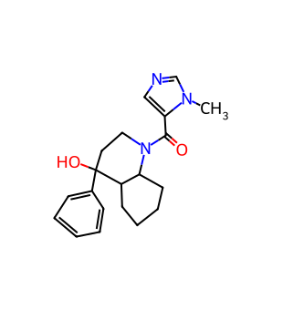 Cn1cncc1C(=O)N1CCC(O)(c2ccccc2)C2CCCCC21